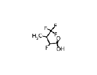 CC(C(F)C(=O)O)C(F)(F)F